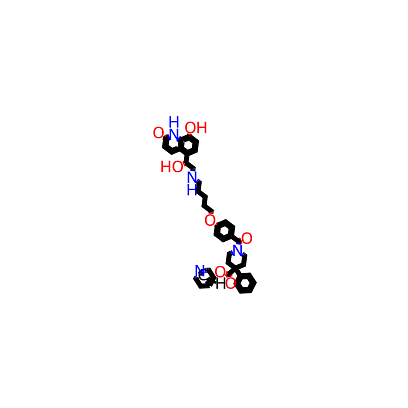 O=C(c1ccc(OCCCCCNCC(O)c2ccc(O)c3[nH]c(=O)ccc23)cc1)N1CCC(C(=O)O[C@H]2CN3CCC2CC3)(c2ccccc2)CC1